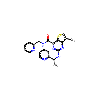 Cc1csc2c(C(=O)NCc3ccccn3)nc(NC(C)c3ccccn3)nc12